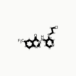 O=c1c2cc(C(F)(F)F)ccc2ncn1Nc1ccncc1SCCCl